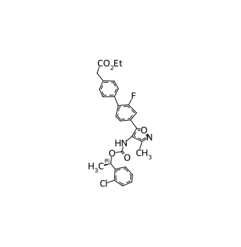 CCOC(=O)Cc1ccc(-c2ccc(-c3onc(C)c3NC(=O)O[C@H](C)c3ccccc3Cl)cc2F)cc1